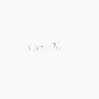 CN(Cc1cccc(-c2ccc(C(=O)NCCc3ccccc3F)cc2)c1)C(=O)CN